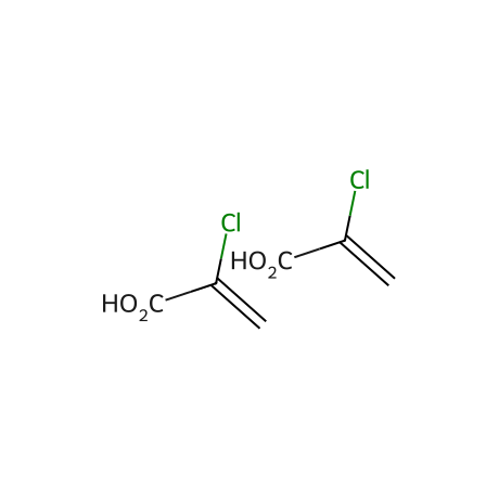 C=C(Cl)C(=O)O.C=C(Cl)C(=O)O